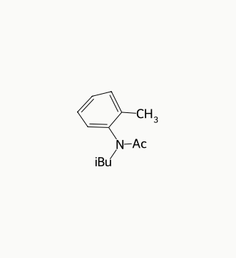 CCC(C)N(C(C)=O)c1ccccc1C